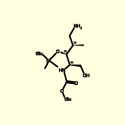 C[C@@H](CN)[C@@H](O[Si](C)(C)C(C)(C)C)[C@@H](CO)NC(=O)OC(C)(C)C